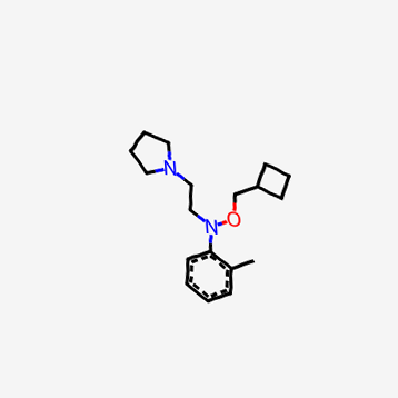 Cc1ccccc1N(CCN1CCCC1)OCC1CCC1